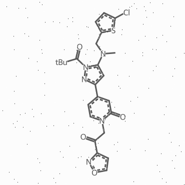 CN(Cc1ccc(Cl)s1)c1cc(-c2ccn(CC(=O)c3ccon3)c(=O)c2)nn1C(=O)C(C)(C)C